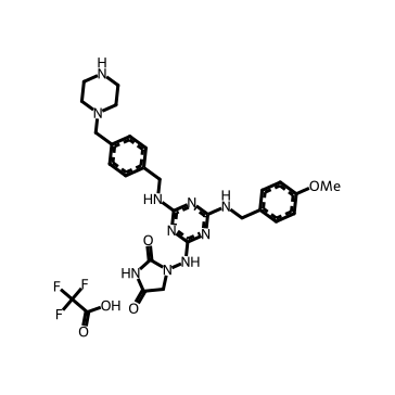 COc1ccc(CNc2nc(NCc3ccc(CN4CCNCC4)cc3)nc(NN3CC(=O)NC3=O)n2)cc1.O=C(O)C(F)(F)F